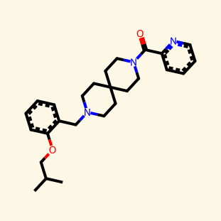 CC(C)COc1ccccc1CN1CCC2(CC1)CCN(C(=O)c1ccccn1)CC2